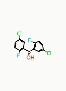 OB(c1cc(Cl)ccc1F)c1cc(Cl)ccc1F